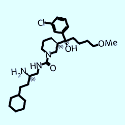 COCCCC[C@@](O)(c1cccc(Cl)c1)[C@@H]1CCCN(C(=O)NC[C@H](N)CCC2CCCCC2)C1